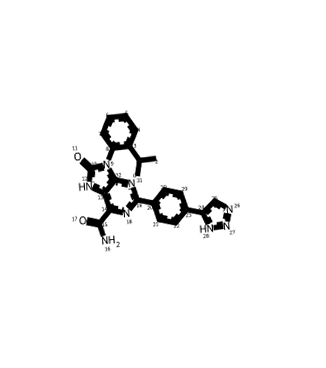 CC(C)c1ccccc1-n1c(=O)[nH]c2c(C(N)=O)nc(-c3ccc(-c4cnn[nH]4)cc3)nc21